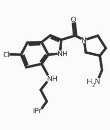 CC(C)CCNc1cc(Cl)cc2cc(C(=O)N3CCC(CN)C3)[nH]c12